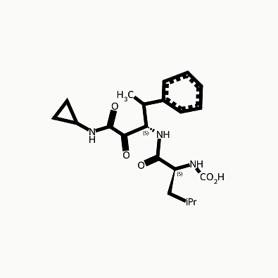 CC(C)C[C@H](NC(=O)O)C(=O)N[C@H](C(=O)C(=O)NC1CC1)C(C)c1ccccc1